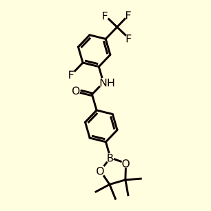 CC1(C)OB(c2ccc(C(=O)Nc3cc(C(F)(F)F)ccc3F)cc2)OC1(C)C